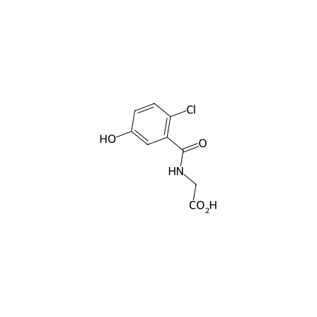 O=C(O)CNC(=O)c1cc(O)ccc1Cl